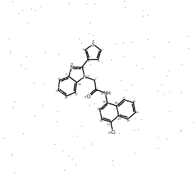 O=C(Cn1c(-c2ccsc2)nc2ccccc21)Nc1ccc(Cl)c2ccccc12